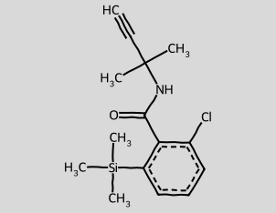 C#CC(C)(C)NC(=O)c1c(Cl)cccc1[Si](C)(C)C